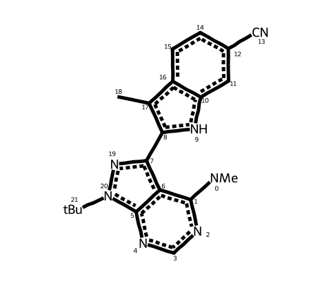 CNc1ncnc2c1c(-c1[nH]c3cc(C#N)ccc3c1C)nn2C(C)(C)C